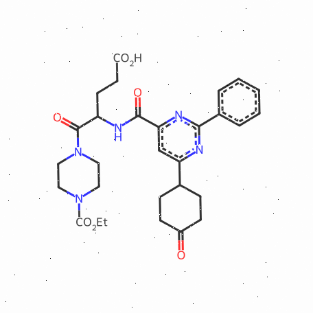 CCOC(=O)N1CCN(C(=O)C(CCC(=O)O)NC(=O)c2cc(C3CCC(=O)CC3)nc(-c3ccccc3)n2)CC1